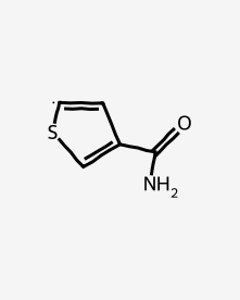 NC(=O)c1c[c]sc1